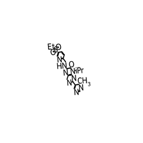 CCS(=O)(=O)c1ccc(CNc2nc3cnc(-c4cncnc4C)nc3n(C(C)C)c2=O)nc1